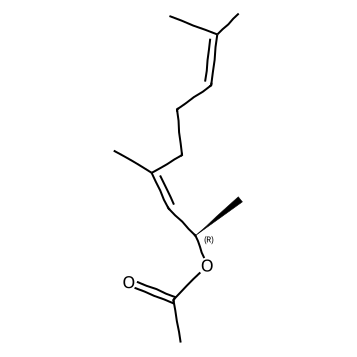 CC(=O)O[C@H](C)C=C(C)CCC=C(C)C